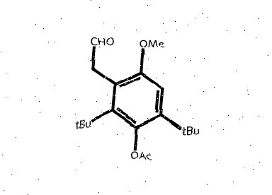 COc1cc(C(C)(C)C)c(OC(C)=O)c(C(C)(C)C)c1CC=O